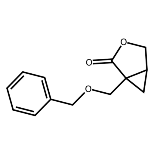 O=C1OCC2CC12COCc1ccccc1